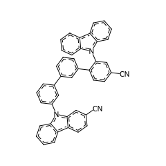 N#Cc1ccc(-c2cccc(-c3cccc(-n4c5ccccc5c5ccc(C#N)cc54)c3)c2)c(-n2c3ccccc3c3ccccc32)c1